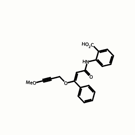 COC#CCO/C(=C/C(=O)Nc1ccccc1C(=O)O)c1ccccc1